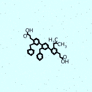 CC(C)Cc1cc(CCC(=O)O)ccc1-c1ccc(-c2ccc(CCC(=O)O)c(Cc3ccccc3)c2)c(Cc2ccccc2)c1